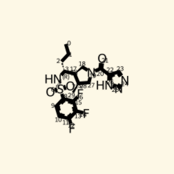 CCC[C@@H](NS(=O)(=O)c1ccc(F)c(F)c1F)[C@H]1CN(C(=O)c2cnn[nH]2)C[C@H]1C